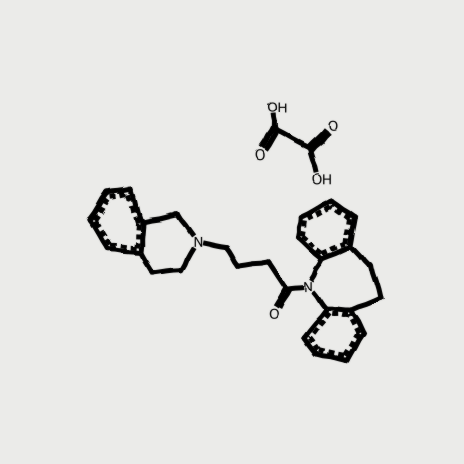 O=C(CCCN1CCc2ccccc2C1)N1c2ccccc2CCc2ccccc21.O=C(O)C(=O)O